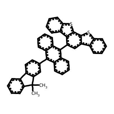 CC1(C)c2ccccc2-c2ccc(-c3c4ccccc4c(-c4cc5c6ccccc6sc5c5sc6ccccc6c45)c4ccccc34)cc21